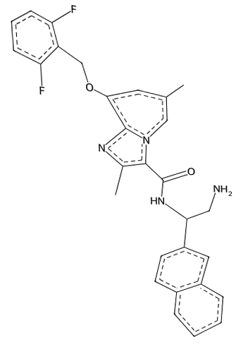 Cc1cc(OCc2c(F)cccc2F)c2nc(C)c(C(=O)NC(CN)c3ccc4ccccc4c3)n2c1